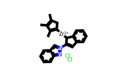 CC1=C(C)C(C)=[C]([Zr+2][CH]2C(n3cc4ccccc4n3)=Cc3ccccc32)C1.[Cl-].[Cl-]